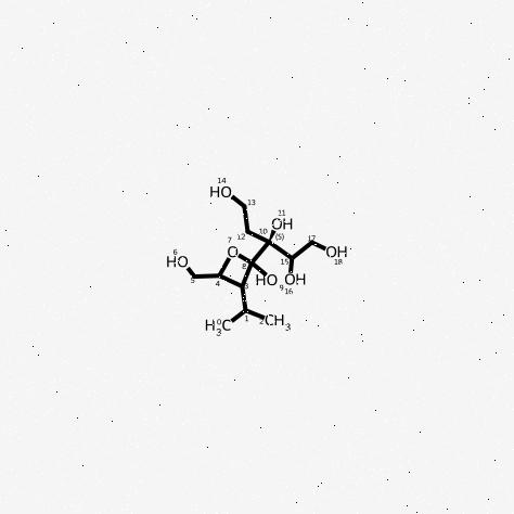 CC(C)C1C(CO)OC1(O)[C@](O)(CCO)C(O)CO